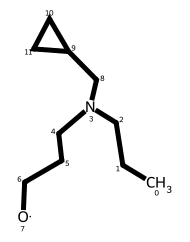 CCCN(CCC[O])CC1CC1